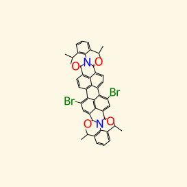 CC(C)c1cccc(C(C)C)c1N1C(=O)c2ccc3c4c(Br)cc5c6c(cc(Br)c(c7ccc(c2c37)C1=O)c64)C(=O)N(c1c(C(C)C)cccc1C(C)C)C5=O